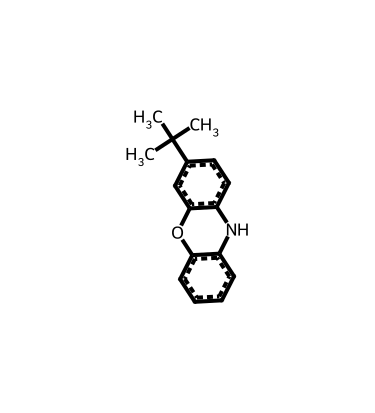 CC(C)(C)c1ccc2c(c1)Oc1ccccc1N2